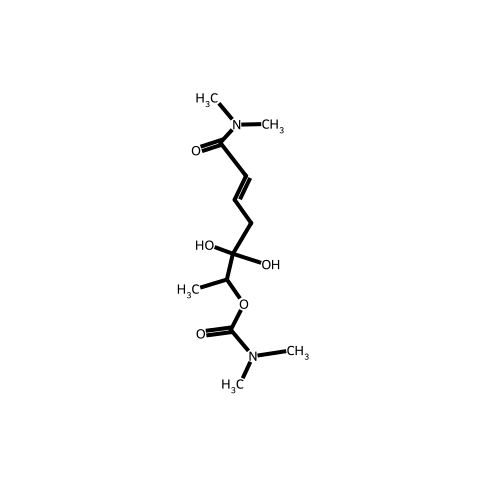 CC(OC(=O)N(C)C)C(O)(O)C/C=C/C(=O)N(C)C